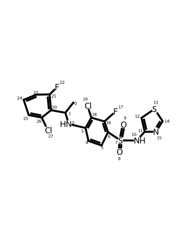 CC(Nc1ccc(S(=O)(=O)Nc2cscn2)c(F)c1Cl)c1c(F)cccc1Cl